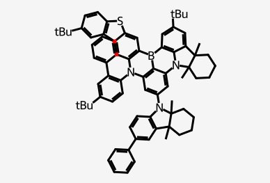 CC(C)(C)c1ccc(N2c3cc4c(cc3B3c5cc(C(C)(C)C)cc6c5N(c5cc(N7c8ccc(-c9ccccc9)cc8C8(C)CCCCC78C)cc2c53)C2(C)CCCCC62C)sc2ccc(C(C)(C)C)cc24)c(-c2ccccc2)c1